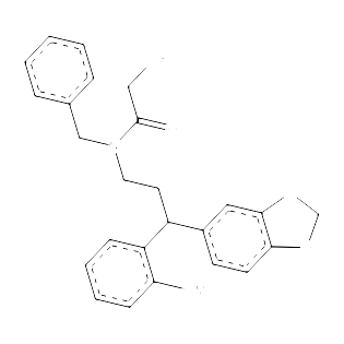 COc1ccccc1C(CCN(Cc1ccccc1)C(=O)COC(C)=O)c1ccc2c(c1)OCO2